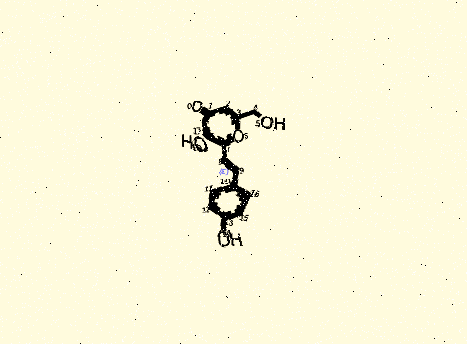 O=c1cc(CO)oc(/C=C/c2ccc(O)cc2)c1O